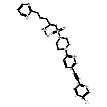 O=S(=O)(CC(CCCc1ncccn1)NO)N1CCN(c2ccc(C#Cc3ccc(C(F)(F)F)cn3)cn2)CC1